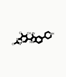 Cc1c(-c2[nH]c3ccc(C4CCNCC4)cc3c2C(C)C)cn2nc(Cl)nc2c1Cl